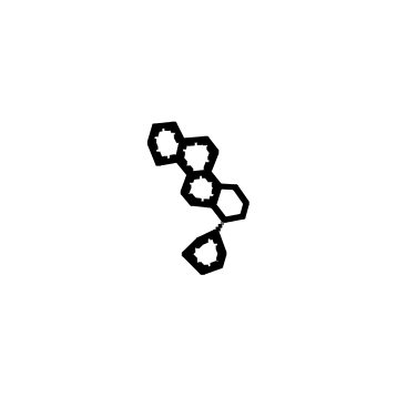 c1ccc([C@H]2CCCc3c2ccc2c3ccc3ccccc32)cc1